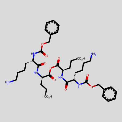 NCCCC[C@H](NC(=O)OCc1ccccc1)C(=O)N[C@H](CCC(=O)O)C(=O)OC(=O)[C@@H](CCC(=O)O)NC(=O)[C@H](CCCCN)NC(=O)OCc1ccccc1